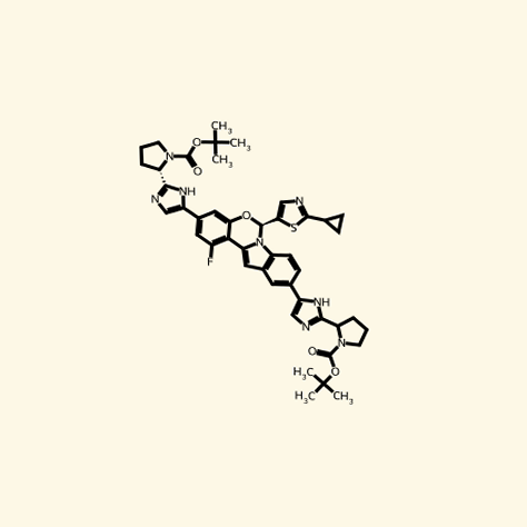 CC(C)(C)OC(=O)N1CCCC1c1ncc(-c2ccc3c(c2)cc2n3[C@H](c3cnc(C4CC4)s3)Oc3cc(-c4cnc([C@@H]5CCCN5C(=O)OC(C)(C)C)[nH]4)cc(F)c3-2)[nH]1